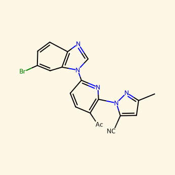 CC(=O)c1ccc(-n2cnc3ccc(Br)cc32)nc1-n1nc(C)cc1C#N